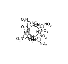 O=[N+]([O-])c1cc([N+](=O)[O-])c(-c2c3nc(c(-c4c([N+](=O)[O-])cc([N+](=O)[O-])cc4[N+](=O)[O-])c4ccc([nH]4)c(-c4c([N+](=O)[O-])cc([N+](=O)[O-])cc4[N+](=O)[O-])c4nc(c(-c5c([N+](=O)[O-])cc([N+](=O)[O-])cc5[N+](=O)[O-])c5ccc2[nH]5)C=C4)C=C3)c([N+](=O)[O-])c1